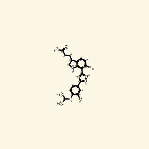 CC(C)Oc1ccc(-c2nc(-c3c(F)ccc4c3NCC4CCC(=O)O)no2)cc1Cl